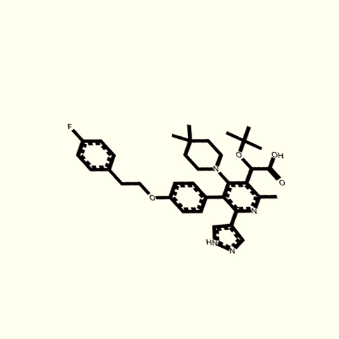 Cc1nc(-c2cn[nH]c2)c(-c2ccc(OCCc3ccc(F)cc3)cc2)c(N2CCC(C)(C)CC2)c1C(OC(C)(C)C)C(=O)O